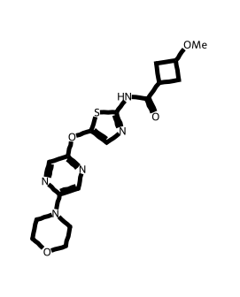 COC1CC(C(=O)Nc2ncc(Oc3cnc(N4CCOCC4)cn3)s2)C1